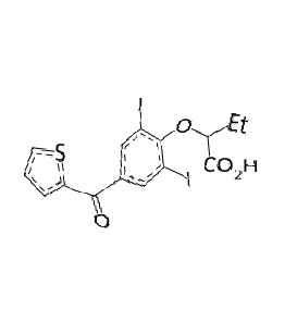 CCC(Oc1c(I)cc(C(=O)c2cccs2)cc1I)C(=O)O